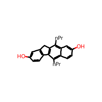 CCCc1c2c(c(CCC)c3ccc(O)cc13)-c1ccc(O)cc1C2